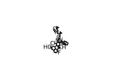 C#Cc1c(F)ccc2c1C(c1c(F)cc3c(N4CC5CCC(C4)N5)nc(OCC4(CN5CCOC6(CC6)C5)CC4)nc3c1Cl)CC(O)=C2